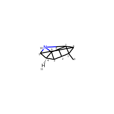 CC12C3C4[C@H]5C6C1C21C3C45N61